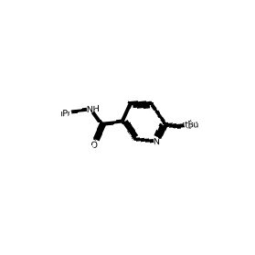 CC(C)NC(=O)c1ccc(C(C)(C)C)nc1